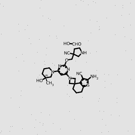 C[C@@]1(O)CCCN(c2cc(N3CC4(CCCc5sc(N)c(C#N)c54)C3)nc(OCC3(C#N)CCNC3)n2)C1.O=CO